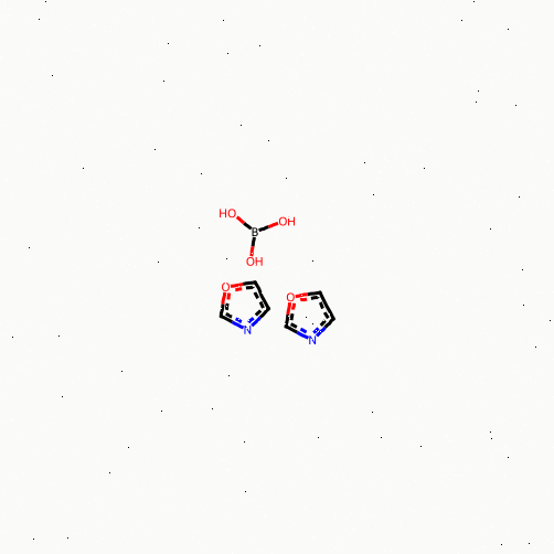 OB(O)O.c1cocn1.c1cocn1